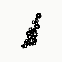 CC(C)(C)OC(=O)N[C@H]1CS(=O)(=O)c2cc(F)c(-c3nnn(C4CCCN(C(=O)OCc5ccccc5)C4)n3)cc2N(Cc2ccc(Cl)cc2)C1=O